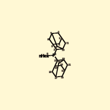 CCCCCCP(C1C2CC3CC(C2)CC1C3)C1C2CC3CC(C2)CC1C3